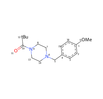 COc1ccc(CN2CCN(C(=O)C(C)(C)C)CC2)cc1